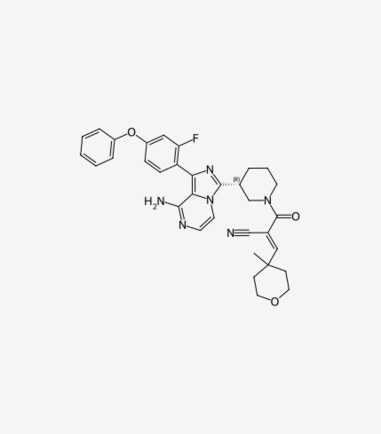 CC1(C=C(C#N)C(=O)N2CCC[C@@H](c3nc(-c4ccc(Oc5ccccc5)cc4F)c4c(N)nccn34)C2)CCOCC1